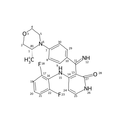 C[C@@H]1COCCN1c1ccc(C(=N)c2c(Nc3c(F)cccc3F)cc[nH]c2=O)cc1